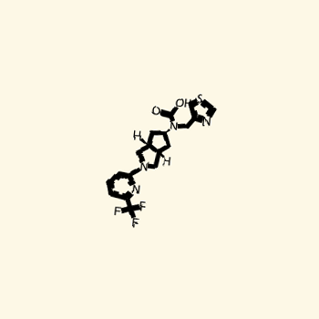 O=C(O)N(Cc1cscn1)[C@@H]1C[C@@H]2CN(c3cccc(C(F)(F)F)n3)C[C@@H]2C1